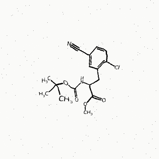 COC(=O)C(Cc1cc(C#N)ccc1Cl)NC(=O)OC(C)(C)C